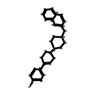 Fc1ccc(C2=CCC(N3CCN(Cc4ccc5ccccc5n4)CC3)CC2)cc1